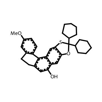 COc1ccc2c(c1)CCc1cc(O)c3cc4c(cc3c1-2)SC(C1CCCCC1)(C1CCCCC1)O4